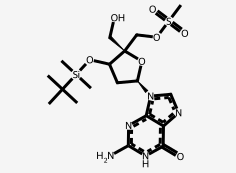 CC(C)(C)[Si](C)(C)OC1C[C@H](n2cnc3c(=O)[nH]c(N)nc32)O[C@@]1(CO)COS(C)(=O)=O